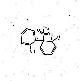 CS(=O)(=O)C1(c2ccccc2O)C=C[C]=CC1(Cl)Cl